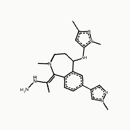 C/C(NN)=C1\c2ccc(-c3cnn(C)c3)cc2C(Nc2cc(C)nn2C)CCN1C